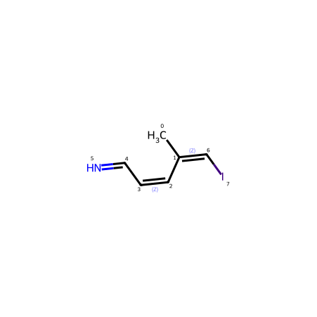 CC(/C=C\C=N)=C/I